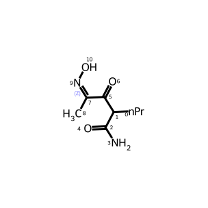 CCCC(C(N)=O)C(=O)/C(C)=N\O